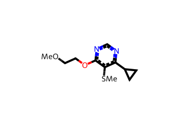 COCCOc1ncnc(C2CC2)c1SC